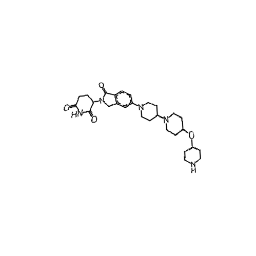 O=C1CCC(N2Cc3cc(N4CCC(N5CCC(OC6CCNCC6)CC5)CC4)ccc3C2=O)C(=O)N1